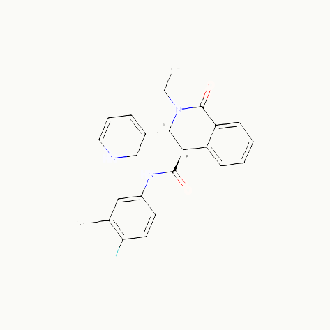 N#Cc1cc(NC(=O)[C@@H]2c3ccccc3C(=O)N(CC(F)(F)F)[C@H]2C2=CC=CNC2)ccc1F